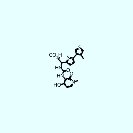 Cc1cscc1-c1ccc(C(CC(=O)O)NC(=O)Nc2c(O)ccn(C)c2=O)s1